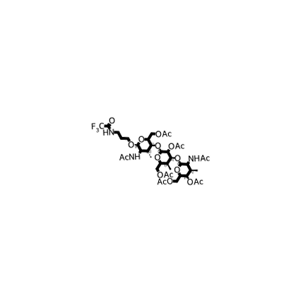 CC(=O)NC1[C@H](OCCCNC(=O)C(F)(F)F)OC(COC(C)=O)[C@@H](O[C@@H]2OC(COC(C)=O)[C@H](C)[C@H](O[C@@H]3OC(COC(C)=O)[C@H](OC(C)=O)[C@H](C)C3NC(C)=O)C2OC(C)=O)[C@@H]1C